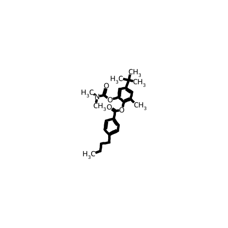 CCCCc1ccc(C(=O)Oc2c(C)cc(C(C)(C)C)cc2OC(=O)N(C)C)cc1